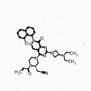 C=CC(=O)N1CCN(c2nc(N3CC(N(CC)CC)C3)nc3c(=O)n(-c4cccc5cccc(Cl)c45)ncc23)C[C@H]1CC#N